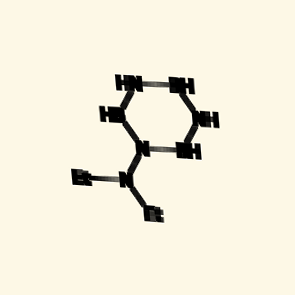 CCN(CC)N1BNBNB1